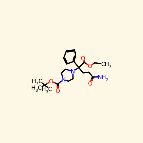 CCOC(=O)C(CCC(N)=O)(c1ccccc1)N1CCN(C(=O)OC(C)(C)C)CC1